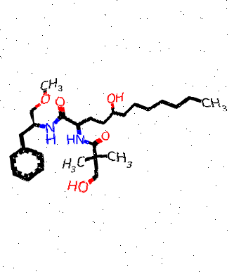 CCCCCCCC(O)CCC(NC(=O)C(C)(C)CO)C(=O)N[C@H](COC)Cc1ccccc1